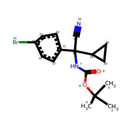 CC(C)(C)OC(=O)NC(C#N)(c1ccc(Br)cc1)C1CC1